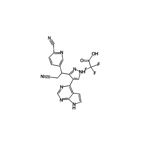 N#CCC(c1ccc(C#N)nc1)c1n[nH]cc1-c1ncnc2[nH]ccc12.O=C(O)C(F)(F)F